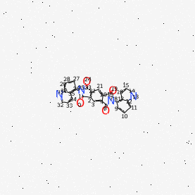 O=c1c2cc3c(=O)n(-c4cccc5ncccc45)c(=O)c3cc2c(=O)n1-c1cccc2ncccc12